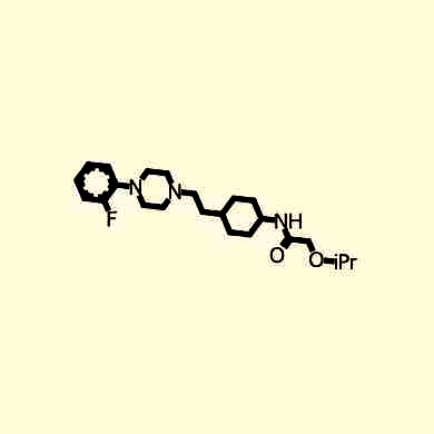 CC(C)OCC(=O)NC1CCC(CCN2CCN(c3ccccc3F)CC2)CC1